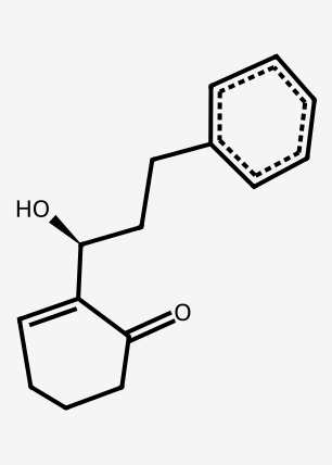 O=C1CCCC=C1[C@@H](O)CCc1ccccc1